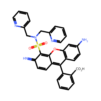 N=c1ccc2c(-c3ccccc3C(=O)O)c3ccc(N)cc3oc-2c1S(=O)(=O)N(Cc1ccccn1)Cc1ccccn1